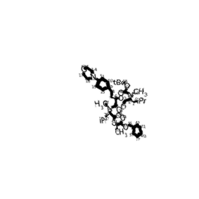 CC(C)C[C@@H](C(=O)O[C@H](CCc1ccc(N2CCOCC2)cc1)C(=O)N(C)[C@@H](CC(C)C)C(=O)O[C@H](C)C(=O)OCc1ccccc1)N(C)C(=O)OC(C)(C)C